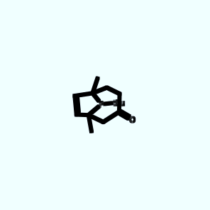 CC(C)(C)P1C2(C)C=CC1(C)CC(=O)CC2